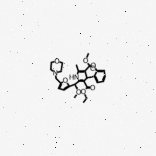 CCOC(=O)C1=C(C(OC)c2ccc(CN3CCOCC3)o2)NC(C)=C(C(=O)OC)C1c1ccccc1Cl